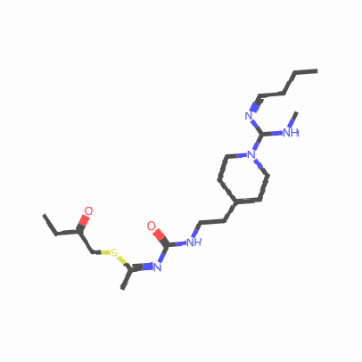 CCC/C=N\C(NC)N1CCC(CCNC(=O)/N=C(/C)SCC(=O)CC)CC1